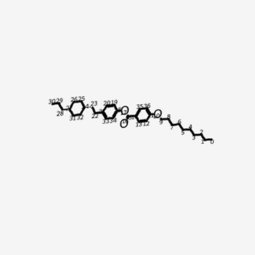 CCCCCCCCCCOc1ccc(C(=O)Oc2ccc(CC[C@H]3CC[C@H](CCC)CC3)cc2)cc1